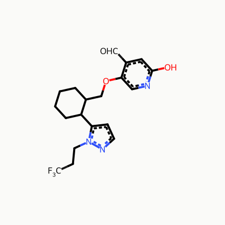 O=Cc1cc(O)ncc1OCC1CCCCC1c1ccnn1CCC(F)(F)F